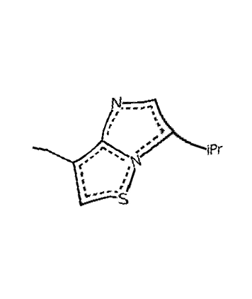 Cc1csn2c(C(C)C)cnc12